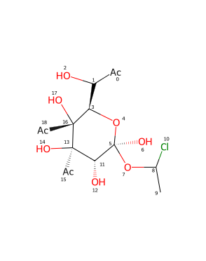 CC(=O)C(O)[C@H]1O[C@@](O)(OC(C)Cl)[C@H](O)[C@](O)(C(C)=O)[C@@]1(O)C(C)=O